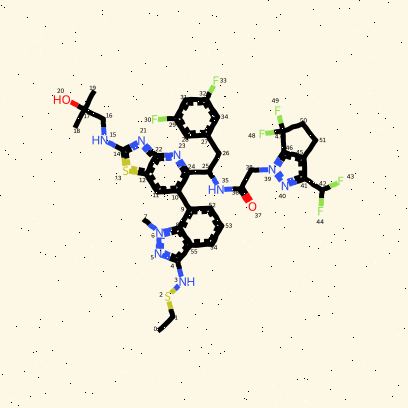 CCSNc1nn(C)c2c(-c3cc4sc(NCC(C)(C)O)nc4nc3C(Cc3cc(F)cc(F)c3)NC(=O)Cn3nc(C(F)F)c4c3C(F)(F)CC4)cccc12